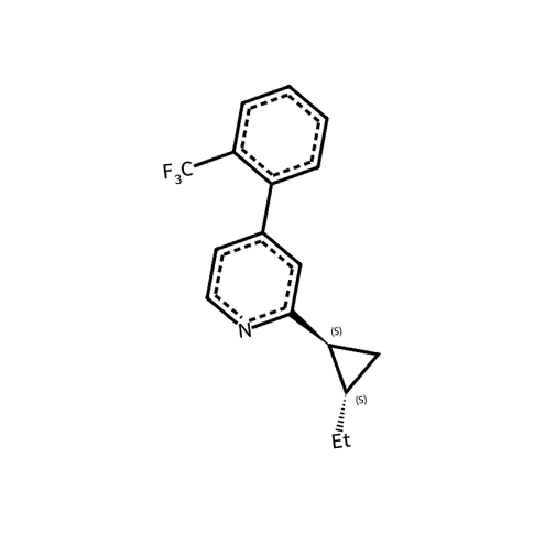 CC[C@H]1C[C@@H]1c1cc(-c2ccccc2C(F)(F)F)ccn1